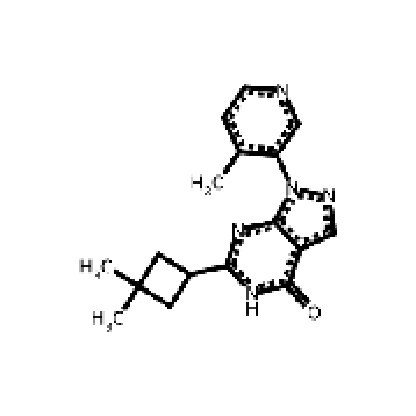 Cc1ccncc1-n1ncc2c(=O)[nH]c(C3CC(C)(C)C3)nc21